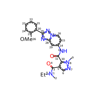 CCN(C)C(=O)c1cnn(C)c1C(=O)Nc1ccn2nc(-c3ccccc3OC)nc2c1